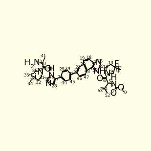 COC(=O)N[C@H](C(=O)N1CC(F)(F)C[C@H]1c1nc2ccc3cc(-c4ccc(-c5cnc([C@@H]6C[Si](C)(C)CN6C(=O)[C@H](C)N)[nH]5)cc4)ccc3c2[nH]1)C(C)C